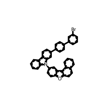 Brc1cccc(-c2ccc(-c3ccc4c5ccccc5n(-c5ccc6oc7ccc8ccccc8c7c6c5)c4c3)cc2)c1